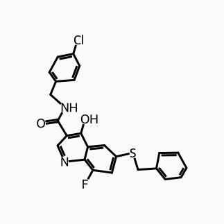 O=C(NCc1ccc(Cl)cc1)c1cnc2c(F)cc(SCc3ccccc3)cc2c1O